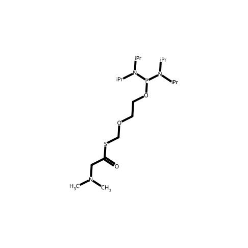 CC(C)N(C(C)C)P(OCCOCSC(=O)CN(C)C)N(C(C)C)C(C)C